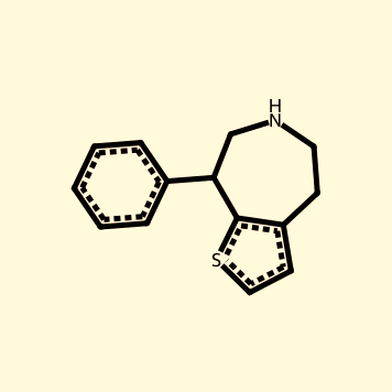 c1ccc(C2CNCCc3ccsc32)cc1